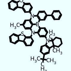 Cc1cc2c3c(c1)N(c1cccc4c1sc1ccccc14)c1cc(N4c5ccc(C(C)(C)C)cc5C5(C)CCCCC45C)ccc1B3c1cc(-c3ccccc3)ccc1N2c1ccc2oc3ccccc3c2c1